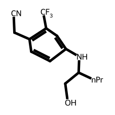 CCCC(CO)Nc1ccc(CC#N)c(C(F)(F)F)c1